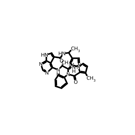 Cc1ccn2nc(C(C)Nc3ncnc4[nH]cc(C(=O)NC(C)c5cn[nH]c5)c34)n(-c3ccccc3)c(=O)c12